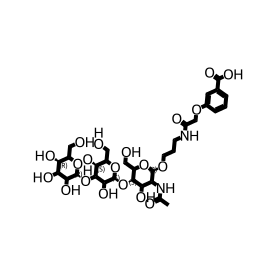 CC(=O)NC1C(O)[C@H](O[C@@H]2OC(CO)[C@H](O)C(O[C@H]3OC(CO)[C@H](O)C(O)C3O)C2O)C(CO)O[C@H]1OCCCNC(=O)COc1cccc(C(=O)O)c1